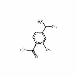 CC(=O)c1ccc(C(C)C)cc1C